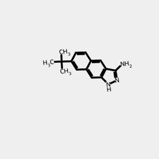 CC(C)(C)c1ccc2cc3c(N)n[nH]c3cc2c1